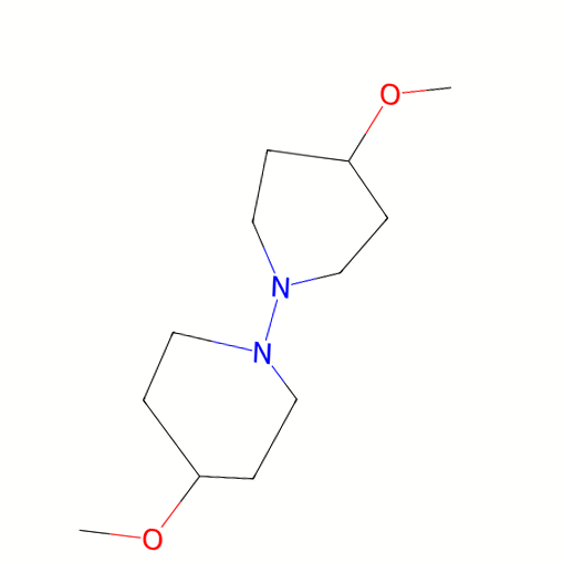 COC1CCN(N2CCC(OC)CC2)CC1